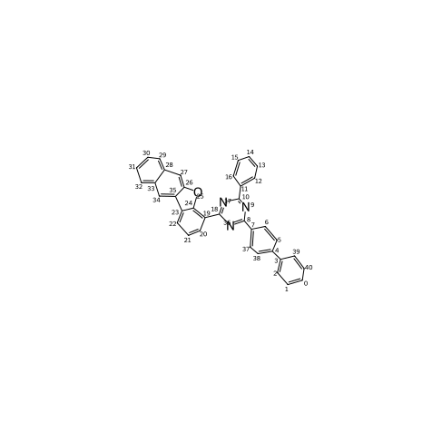 c1ccc(-c2ccc(-c3nc(-c4ccccc4)nc(-c4cccc5c4oc4cc6ccccc6cc45)n3)cc2)cc1